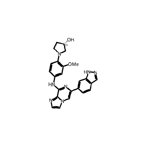 COc1cc(Nc2nc(-c3ccc4cn[nH]c4c3)cn3ccnc23)ccc1N1CC[C@H](O)C1